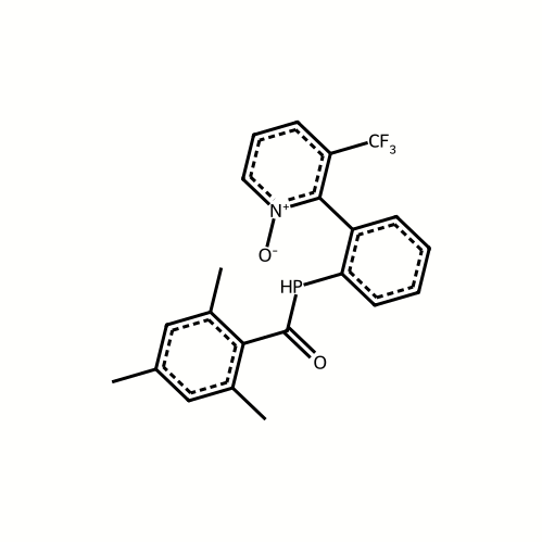 Cc1cc(C)c(C(=O)Pc2ccccc2-c2c(C(F)(F)F)ccc[n+]2[O-])c(C)c1